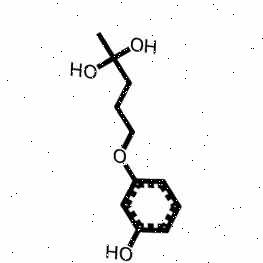 CC(O)(O)CCCOc1cccc(O)c1